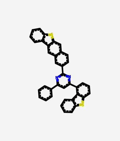 c1ccc(-c2cc(-c3cccc4sc5ccccc5c34)nc(-c3ccc4cc5sc6ccccc6c5cc4c3)n2)cc1